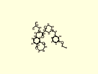 CCOc1cccc(CN2CCOC(C(=O)N(Cc3ccc4c(c3)OCCCO4)CC(C)C)C2)c1